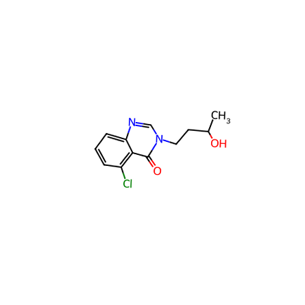 CC(O)CCn1cnc2cccc(Cl)c2c1=O